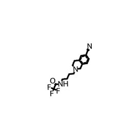 N#Cc1ccc2c(c1)CCN(CCCCNC(=O)C(F)(F)F)C2